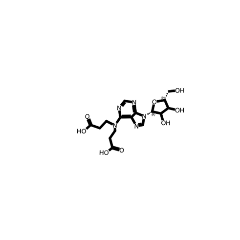 O=C(O)CCN(CCC(=O)O)c1ncnc2c1ncn2[C@@H]1O[C@H](CO)C(O)C1O